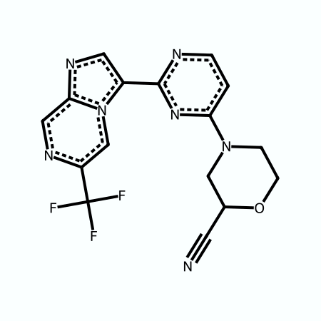 N#CC1CN(c2ccnc(-c3cnc4cnc(C(F)(F)F)cn34)n2)CCO1